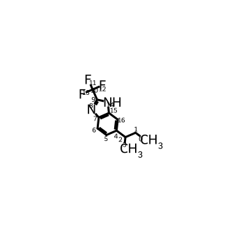 CCC(C)c1ccc2nc(C(F)(F)F)[nH]c2c1